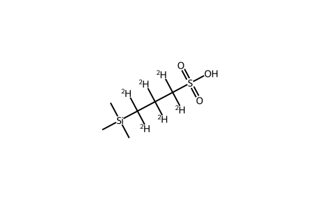 [2H]C([2H])(C([2H])([2H])[Si](C)(C)C)C([2H])([2H])S(=O)(=O)O